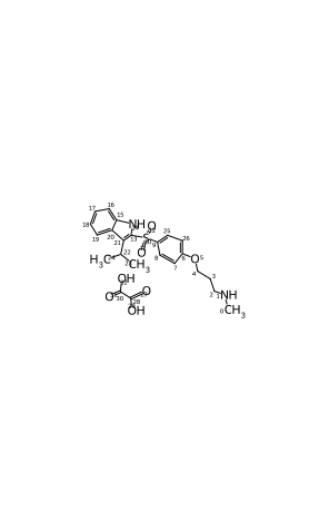 CNCCCOc1ccc(S(=O)(=O)c2[nH]c3ccccc3c2C(C)C)cc1.O=C(O)C(=O)O